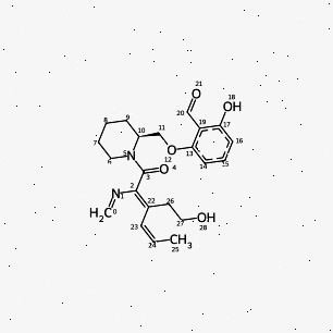 C=N/C(C(=O)N1CCCC[C@H]1COc1cccc(O)c1C=O)=C(\C=C/C)CCO